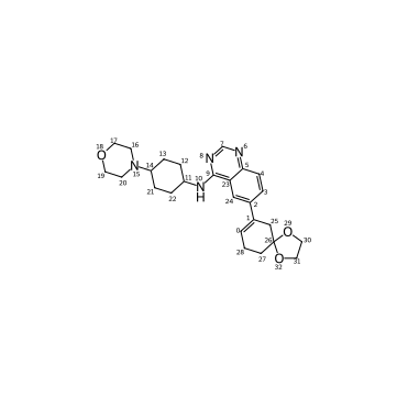 C1=C(c2ccc3ncnc(NC4CCC(N5CCOCC5)CC4)c3c2)CC2(CC1)OCCO2